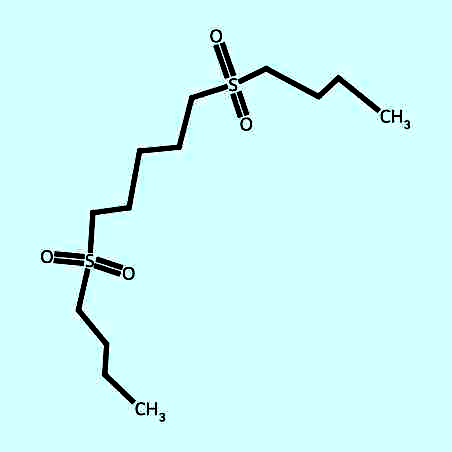 CCCCS(=O)(=O)CCCCCS(=O)(=O)CCCC